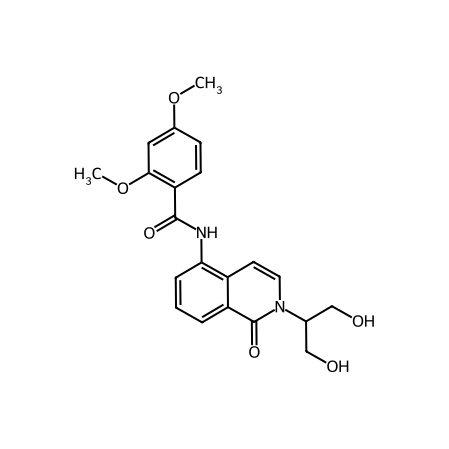 COc1ccc(C(=O)Nc2cccc3c(=O)n(C(CO)CO)ccc23)c(OC)c1